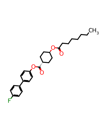 CCCCCCCC(=O)O[C@H]1CC[C@H](C(=O)Oc2ccc(-c3ccc(F)cc3)cc2)CC1